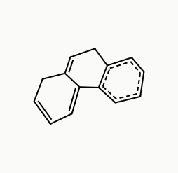 C1=CCC2=CCc3ccccc3C2=C1